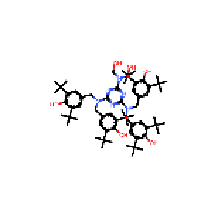 CC(C)(C)c1cc(CN(Cc2cc(C(C)(C)C)c(O)c(C(C)(C)C)c2)c2nc(N(CO)CO)nc(N(Cc3cc(C(C)(C)C)c(O)c(C(C)(C)C)c3)Cc3cc(C(C)(C)C)c(O)c(C(C)(C)C)c3)n2)cc(C(C)(C)C)c1O